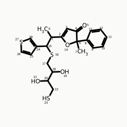 CC(C1=CC(=O)C(C)(c2ccccc2)O1)C(SCC(O)C(O)CS)c1ccsc1